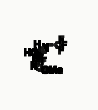 COc1ccc2ncc(Cl)c([C@H](F)CCC3(C(=O)NO)CCN(CC#Cc4cc(F)c(F)c(F)c4)CC3)c2c1